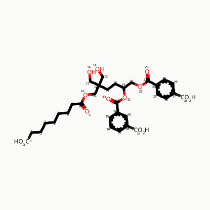 O=C(O)CCCCCCCC(=O)OCC(CO)(CO)CCC(COC(=O)c1ccc(C(=O)O)cc1)OC(=O)c1cccc(C(=O)O)c1